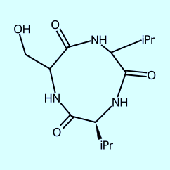 CC(C)C1NC(=O)C(CO)NC(=O)[C@H](C(C)C)NC1=O